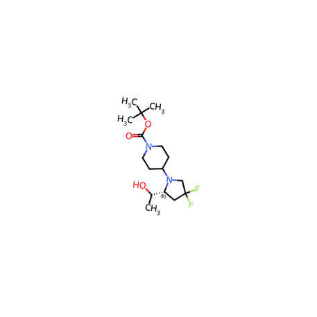 CC(O)[C@H]1CC(F)(F)CN1C1CCN(C(=O)OC(C)(C)C)CC1